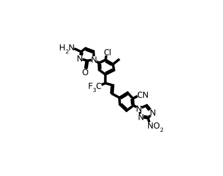 Cc1cc(C(/C=C/c2ccc(-n3cnc([N+](=O)[O-])n3)c(C#N)c2)C(F)(F)F)cc(-n2ccc(N)nc2=O)c1Cl